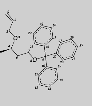 C=CCO[C@H](C)CCOC(c1ccccc1)(c1ccccc1)c1ccccc1